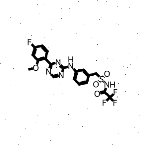 COc1cc(F)ccc1-c1ncnc(Nc2cccc(CS(=O)(=O)NC(=O)C(F)(F)F)c2)n1